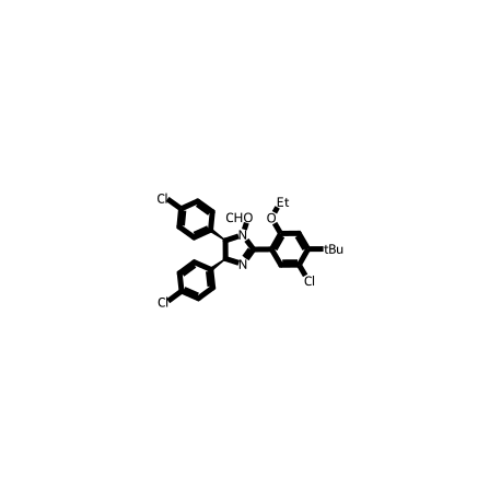 CCOc1cc(C(C)(C)C)c(Cl)cc1C1=N[C@@H](c2ccc(Cl)cc2)[C@@H](c2ccc(Cl)cc2)N1C=O